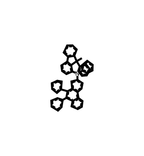 CC1(c2ccccc2)c2ccccc2-c2cccc(N(c3ccccc3)c3ccc4c(c3)c(-c3ccccc3)c(-c3ccccc3)c3ccccc34)c21